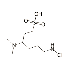 CN(C)C(CCCNCl)CCS(=O)(=O)O